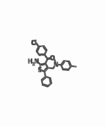 Cc1ccc(N(C)Cc2c(-c3ccccc3)sc(N)c2C(=O)c2ccc(Cl)cc2)cc1